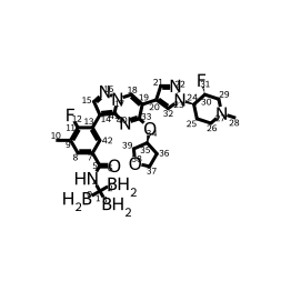 BC(B)(B)NC(=O)c1cc(C)c(F)c(-c2cnn3cc(-c4cnn([C@@H]5CCN(C)C[C@H]5F)c4)c(O[C@H]4CCOC4)nc23)c1